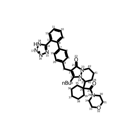 CCCCc1c(Cc2ccc(-c3ccccc3-c3nnn[nH]3)cc2)c(=O)n2n1C(C1(C(=O)N3CCOCC3)CCCCC1)CCC2